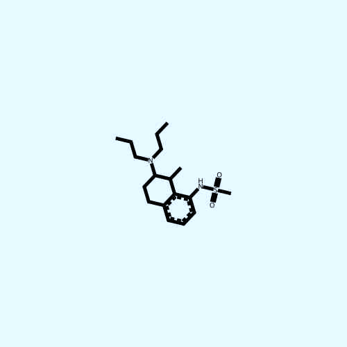 CCCN(CCC)C1CCc2cccc(NS(C)(=O)=O)c2C1C